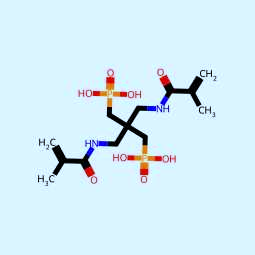 C=C(C)C(=O)NCC(CNC(=O)C(=C)C)(CP(=O)(O)O)CP(=O)(O)O